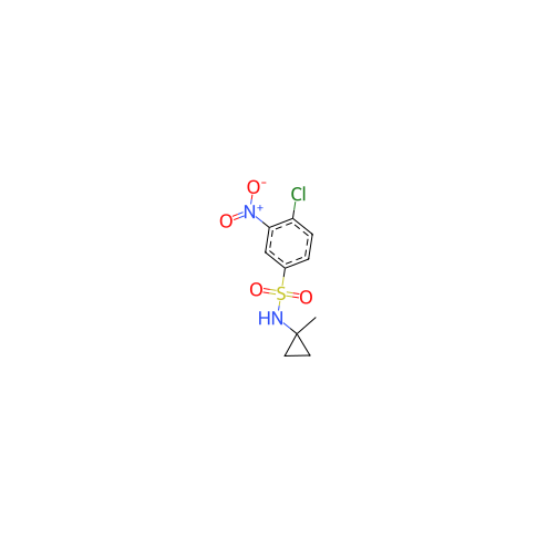 CC1(NS(=O)(=O)c2ccc(Cl)c([N+](=O)[O-])c2)CC1